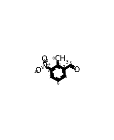 Cc1c([C]=O)cccc1[N+](=O)[O-]